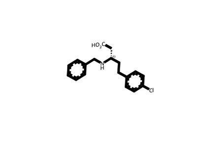 O=C(O)C[C@H](CCc1ccc(Cl)cc1)NCc1ccccc1